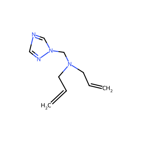 C=CCN(CC=C)Cn1cncn1